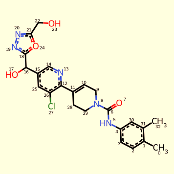 Cc1ccc(NC(=O)N2CC=C(c3ncc(C(O)c4nnc(CO)o4)cc3Cl)CC2)cc1C